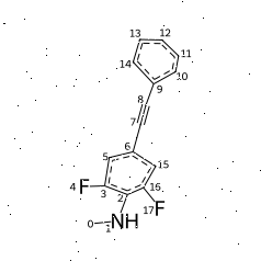 CNc1c(F)cc(C#Cc2ccccc2)cc1F